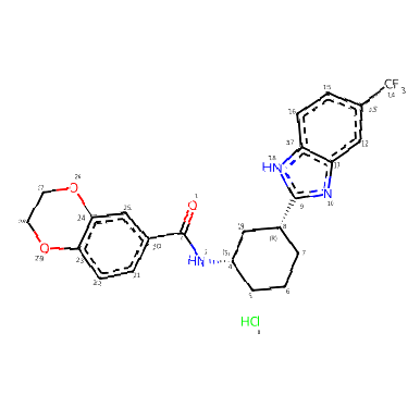 Cl.O=C(N[C@H]1CCC[C@@H](c2nc3cc(C(F)(F)F)ccc3[nH]2)C1)c1ccc2c(c1)OCCO2